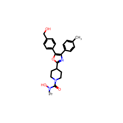 Cc1ccc(-c2nc(C3CCN(C(=O)N(O)C(C)C)CC3)oc2-c2ccc(CO)cc2)cc1